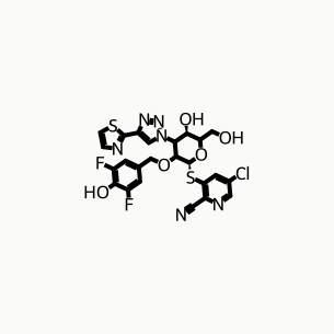 N#Cc1ncc(Cl)cc1S[C@H]1OC(CO)[C@H](O)C(n2cc(-c3nccs3)nn2)C1OCc1cc(F)c(O)c(F)c1